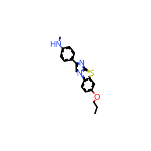 CCCOc1ccc2c(c1)sc1nc(-c3ccc(NC)cc3)cn12